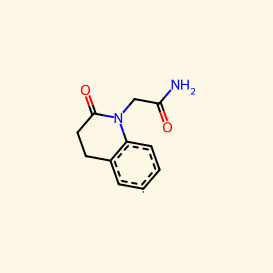 NC(=O)CN1C(=O)CCc2c[c]ccc21